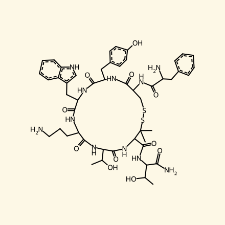 CC(O)C(NC(=O)C1NC(=O)C(C(C)O)NC(=O)C(CCCN)NC(=O)C(Cc2c[nH]c3ccccc23)NC(=O)C(Cc2ccc(O)cc2)NC(=O)C(NC(=O)C(N)Cc2ccccc2)CSSC1(C)C)C(N)=O